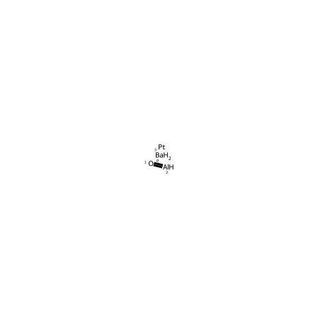 [BaH2].[O]=[AlH].[Pt]